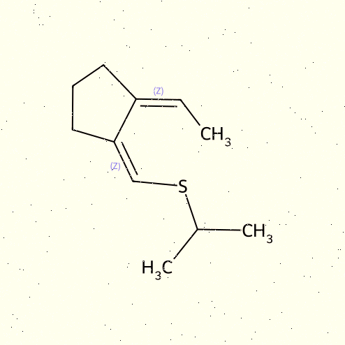 C/C=C1/CCC/C1=C/SC(C)C